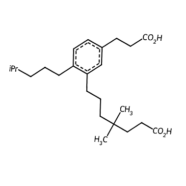 CC(C)CCCc1ccc(CCC(=O)O)cc1CCCC(C)(C)CCC(=O)O